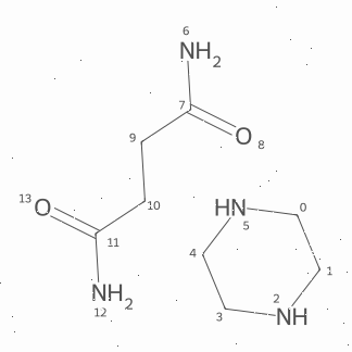 C1CNCCN1.NC(=O)CCC(N)=O